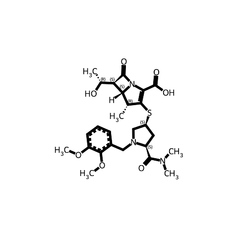 COc1cccc(CN2C[C@@H](SC3=C(C(=O)O)N4C(=O)[C@H]([C@@H](C)O)[C@H]4[C@H]3C)C[C@H]2C(=O)N(C)C)c1OC